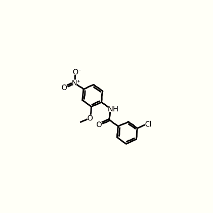 COc1cc([N+](=O)[O-])ccc1NC(=O)c1cccc(Cl)c1